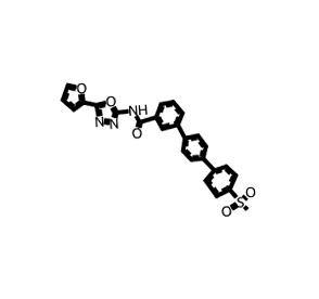 CS(=O)(=O)c1ccc(-c2ccc(-c3cccc(C(=O)Nc4nnc(-c5ccco5)o4)c3)cc2)cc1